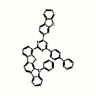 c1ccc(-c2ccc(-c3nc(-c4ccc5c(c4)oc4ccccc45)nc(-c4cccc5c4sc4c5ccc5c6ccccc6n(-c6ccccc6)c54)n3)cc2)cc1